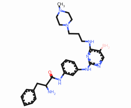 Bc1cnc(Nc2cccc(NC(=O)C(N)Cc3ccccc3)c2)nc1NCCCN1CCN(C)CC1